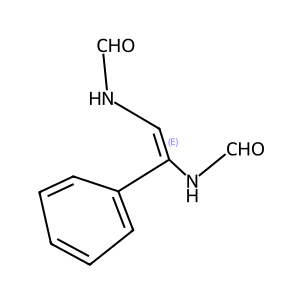 O=CN/C=C(/NC=O)c1ccccc1